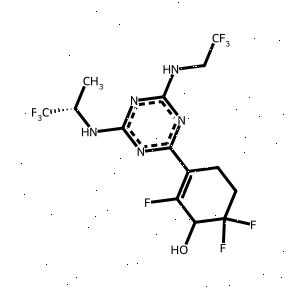 C[C@H](Nc1nc(NCC(F)(F)F)nc(C2=C(F)C(O)C(F)(F)CC2)n1)C(F)(F)F